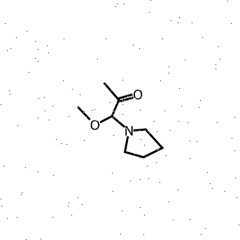 COC(C(C)=O)N1CCCC1